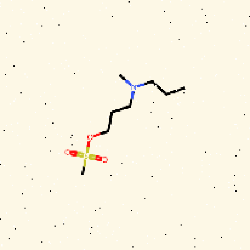 CCCN(C)CCCOS(C)(=O)=O